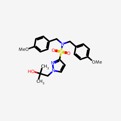 COc1ccc(CN(Cc2ccc(OC)cc2)S(=O)(=O)c2ccn(CC(C)(C)O)n2)cc1